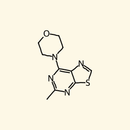 Cc1nc(N2CCOCC2)c2ncsc2n1